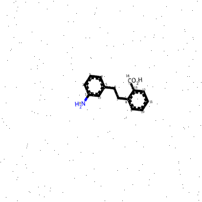 Nc1cccc(CCc2ccccc2C(=O)O)c1